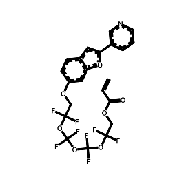 C=CC(=O)OCC(F)(F)OC(F)(F)OC(F)(F)OC(F)(F)COc1ccc2cc(-c3cccnc3)oc2c1